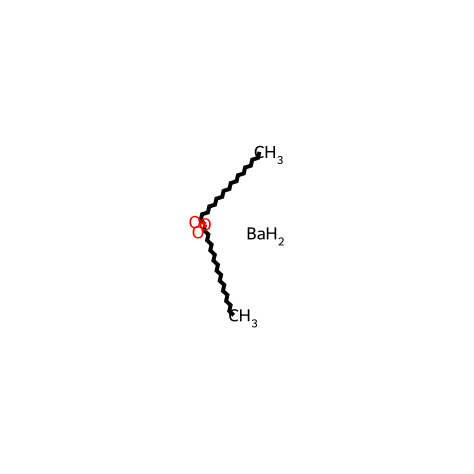 CCCCCCCCCCCCCCCCCC(=O)OC(=O)CCCCCCCCCCCCCCCCC.[BaH2]